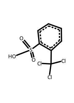 O=S(=O)(O)c1ccccc1C(Cl)(Cl)Cl